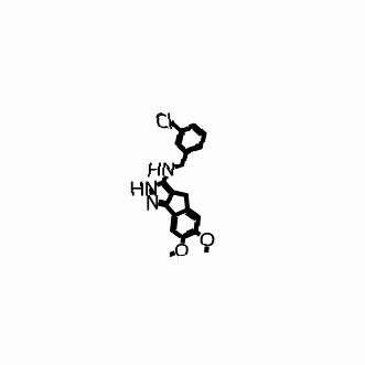 COc1cc2c(cc1OC)-c1n[nH]c(NCc3cccc(Cl)c3)c1C2